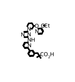 CCOc1cccnc1OC1CCCN(c2cncc(Nc3cccc(-c4cccc(CC(C)(C)C(=O)O)c4)n3)n2)C1